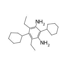 CCc1c(N)c(C2CCCCC2)c(N)c(CC)c1C1CCCCC1